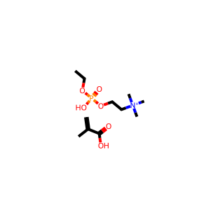 C=C(C)C(=O)O.CCOP(=O)(O)OCC[N+](C)(C)C